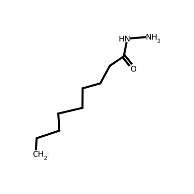 [CH2]CCCCCCCC(=O)NN